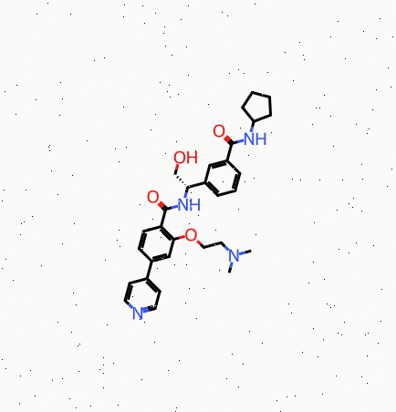 CN(C)CCOc1cc(-c2ccncc2)ccc1C(=O)N[C@H](CO)c1cccc(C(=O)NC2CCCC2)c1